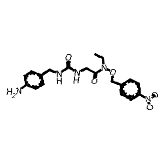 CCN(OCc1ccc([N+](=O)[O-])cc1)C(=O)CNC(=O)NCc1ccc(N)cc1